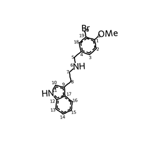 COc1ccc(CNCCc2c[nH]c3ccccc23)cc1Br